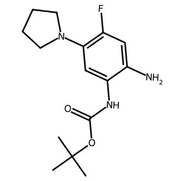 CC(C)(C)OC(=O)Nc1cc(N2CCCC2)c(F)cc1N